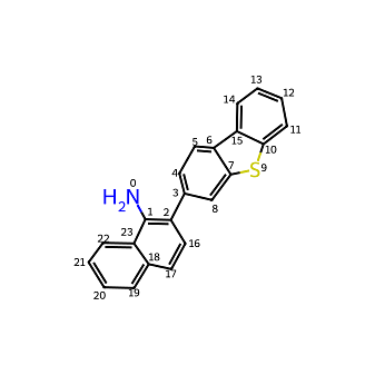 Nc1c(-c2ccc3c(c2)sc2ccccc23)ccc2ccccc12